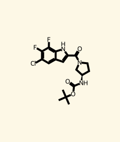 CC(C)(C)OC(=O)N[C@@H]1CCN(C(=O)c2cc3cc(Cl)c(F)c(F)c3[nH]2)C1